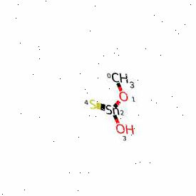 C[O][Sn]([OH])=[S]